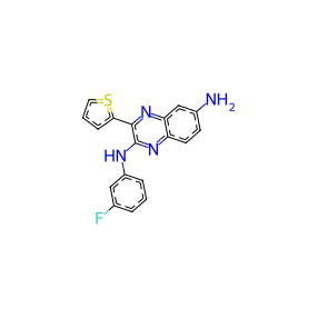 Nc1ccc2nc(Nc3cccc(F)c3)c(-c3cccs3)nc2c1